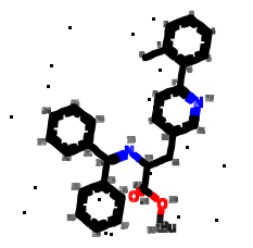 Cc1ccccc1-c1ccc(CC(N=C(c2ccccc2)c2ccccc2)C(=O)OC(C)(C)C)cn1